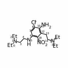 CCN(CC)CCNc1cc(Cl)c(N)c(CCN(CC)CC)c1[N+](=O)[O-]